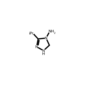 CC(C)C1=NNCN1N